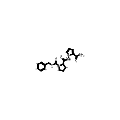 NC(=O)c1cccn1NC(=O)C1CCCN1C(=O)OCc1ccccc1